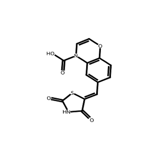 O=C1NC(=O)C(=Cc2ccc3c(c2)N(C(=O)O)C=CO3)S1